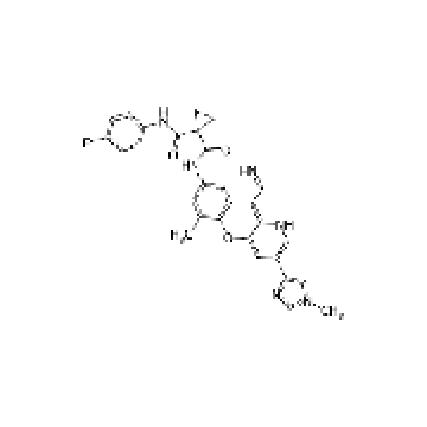 Cc1cc(NC(=O)C2(C(=O)Nc3ccc(F)cc3)CC2)ccc1OC1=CC(c2cn(C)cn2)=CN/C1=C\C=N